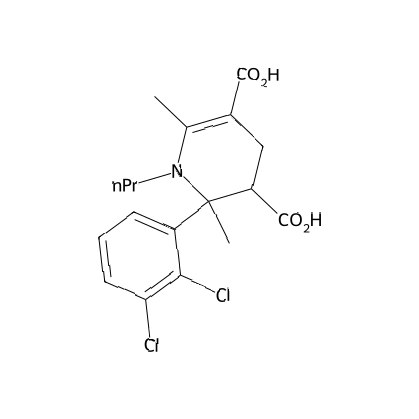 CCCN1C(C)=C(C(=O)O)CC(C(=O)O)C1(C)c1cccc(Cl)c1Cl